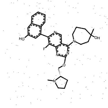 CN1CCC[C@H]1COc1nc(N2CCCC(C)(O)CC2)c2cnc(-c3cc(O)cc4ccccc34)c(F)c2n1